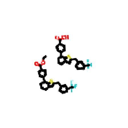 CCOC(=O)c1ccc(-c2cccc3cc(Cc4cccc(C(F)(F)F)c4)sc23)cc1.O=C(O)c1ccc(-c2cccc3cc(Cc4cccc(C(F)(F)F)c4)sc23)cc1